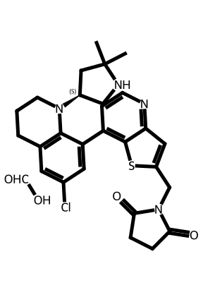 CC1(C)C[C@H](N2CCCc3cc(Cl)cc(-c4ccnc5cc(CN6C(=O)CCC6=O)sc45)c32)CN1.O=CO